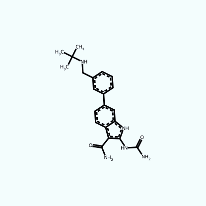 CC(C)(C)NCc1cccc(-c2ccc3c(C(N)=O)c(NC(N)=O)[nH]c3c2)c1